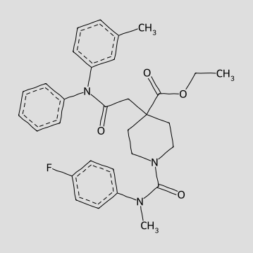 CCOC(=O)C1(CC(=O)N(c2ccccc2)c2cccc(C)c2)CCN(C(=O)N(C)c2ccc(F)cc2)CC1